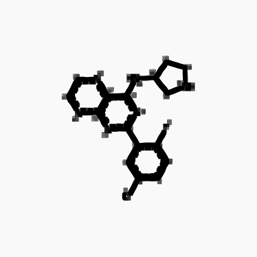 Fc1ccc(Cl)cc1-c1nc(NC2CCNC2)c2nccnc2n1